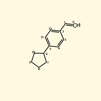 [CH]=Cc1ccc(C2CCCC2)cc1